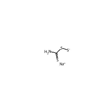 NC(=S)S[S-].[Na+]